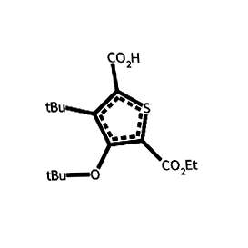 CCOC(=O)c1sc(C(=O)O)c(C(C)(C)C)c1OC(C)(C)C